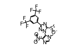 Cn1cnc([N+](=O)[O-])c1-n1nc(-c2cc(C(F)(F)F)cc(C(F)(F)F)c2)nc1[S+](C)[O-]